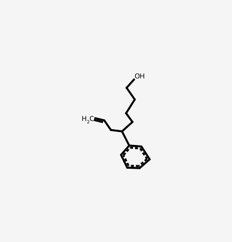 C=CCC(CCCCO)c1ccccc1